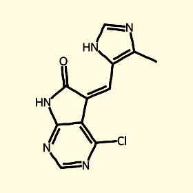 Cc1nc[nH]c1C=C1C(=O)Nc2ncnc(Cl)c21